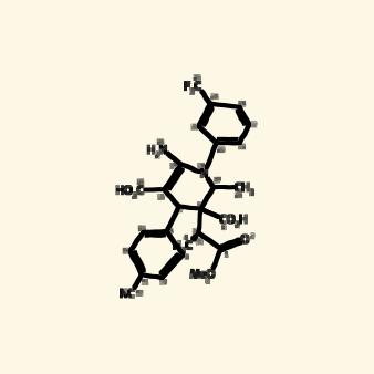 COC(=O)[C@@H](C)C1(C(=O)O)C(c2ccc(C#N)cc2)C(C(=O)O)=C(N)N(c2cccc(C(F)(F)F)c2)C1C